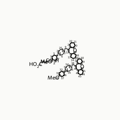 COc1ccc(N2CCN(CC3=Cc4ccccc4Oc4ccccc43)CC2)cc1.COc1ccc(N2CCN(CC3=Cc4ccccc4Oc4ccccc43)CC2)cc1.O=C(O)/C=C/C(=O)O